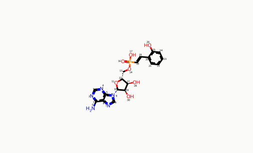 Nc1ncnc2c1ncn2[C@@H]1O[C@H](COP(=O)(O)C=Cc2ccccc2O)[C@@H](O)[C@H]1O